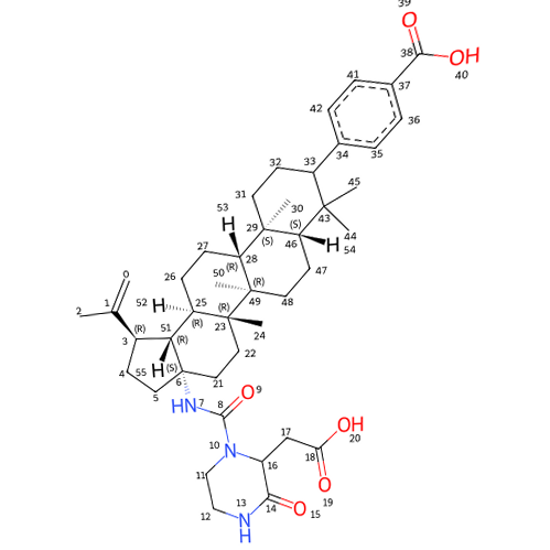 C=C(C)[C@@H]1CC[C@]2(NC(=O)N3CCNC(=O)C3CC(=O)O)CC[C@]3(C)[C@H](CC[C@@H]4[C@@]5(C)CCC(c6ccc(C(=O)O)cc6)C(C)(C)[C@@H]5CC[C@]43C)[C@@H]12